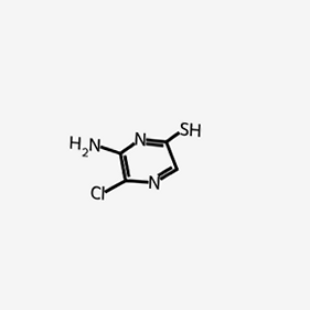 Nc1nc(S)cnc1Cl